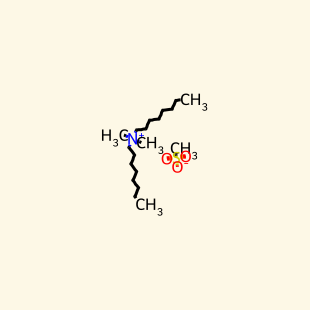 CCCCCCCC[N+](C)(C)CCCCCCCC.CS(=O)(=O)[O-]